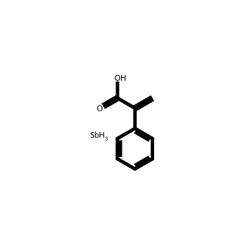 C=C(C(=O)O)c1ccccc1.[SbH3]